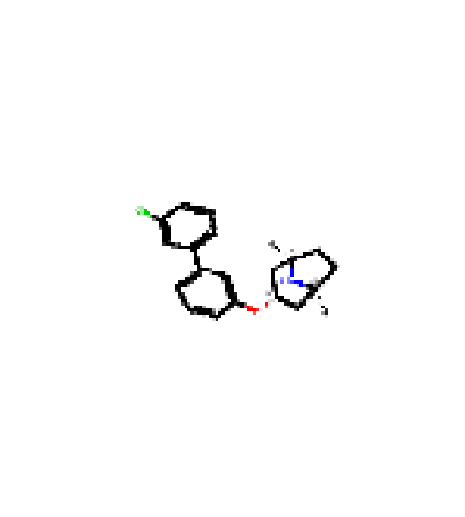 Clc1cccc(-c2cccc(O[C@@H]3C[C@H]4CC[C@@H](C3)N4)c2)c1